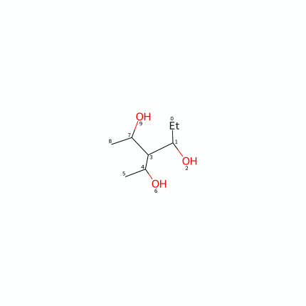 CCC(O)C(C(C)O)C(C)O